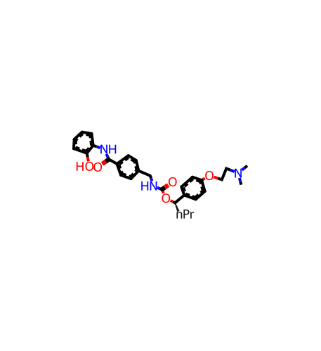 CCC[C@@H](OC(=O)NCc1ccc(C(=O)Nc2ccccc2O)cc1)c1ccc(OCCN(C)C)cc1